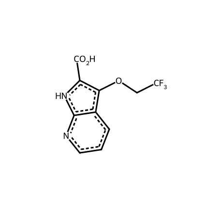 O=C(O)c1[nH]c2ncccc2c1OCC(F)(F)F